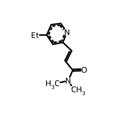 CCc1ccnc(C=CC(=O)N(C)C)c1